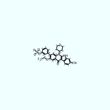 N#Cc1ccc2c(c1)[nH]c1c2c(=O)c2cc(OCC(F)(F)F)c(-c3cccc(OS(=O)(=O)F)c3)cc2n1C1CCOCC1